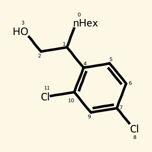 CCCCCCC(CO)c1ccc(Cl)cc1Cl